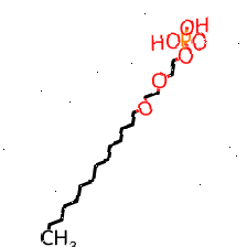 CCCCCCCCCCCCCCOCCOCCOP(=O)(O)O